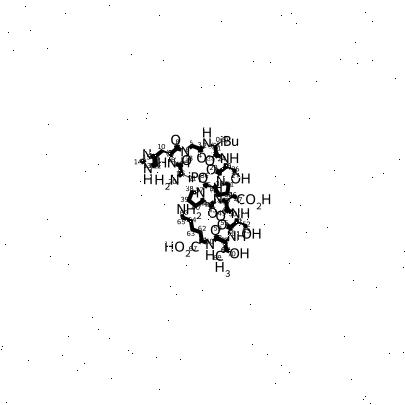 CC[C@H](C)[C@H](NC(=O)CNC(=O)[C@H](Cc1c[nH]cn1)NC(=O)[C@@H](N)C(C)C)C(=O)N[C@@H](CO)C(=O)N1CCC[C@H]1C(=O)N1CCC[C@H]1C(=O)N[C@@H](CC(=O)O)C(=O)N[C@@H](CO)C(=O)N[C@H](C(=O)N[C@@H](CCCCN)C(=O)O)[C@@H](C)O